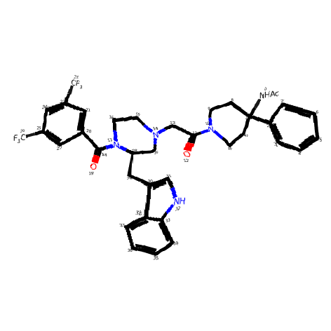 CC(=O)NC1(c2ccccc2)CCN(C(=O)CN2CCN(C(=O)c3cc(C(F)(F)F)cc(C(F)(F)F)c3)[C@H](Cc3c[nH]c4ccccc34)C2)CC1